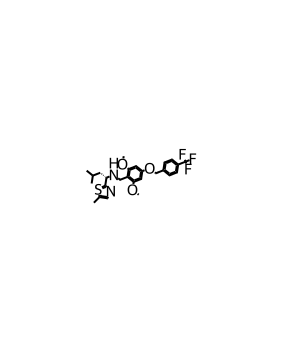 COc1cc(OCc2ccc(C(F)(F)F)cc2)cc(OC)c1CN[C@@H](CC(C)C)c1ncc(C)s1